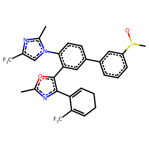 Cc1nc(C2=CCCC=C2C(F)(F)F)c(-c2cc(-c3cccc([S+](C)[O-])c3)ccc2-n2cc(C(F)(F)F)nc2C)o1